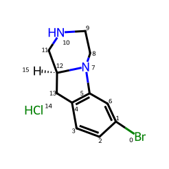 Brc1ccc2c(c1)N1CCNC[C@@H]1C2.Cl